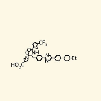 CC[C@H]1CC[C@H](C2CC=C(c3cnc(-c4ccc(C[C@H](NC(=O)c5ccc(C(F)(F)F)s5)C(=O)N5CC(C(=O)O)C5)cc4)nc3)CC2)CC1